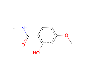 CNC(=O)c1ccc(OC)cc1O